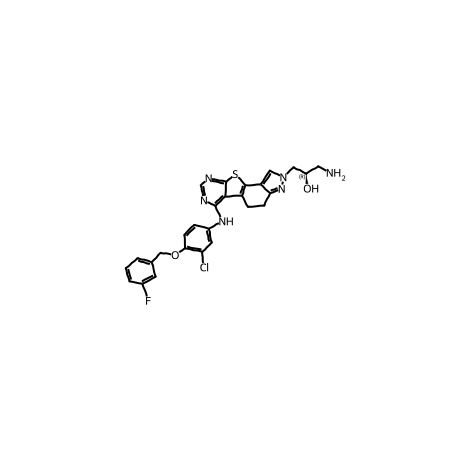 NC[C@@H](O)Cn1cc2c(n1)CCc1c-2sc2ncnc(Nc3ccc(OCc4cccc(F)c4)c(Cl)c3)c12